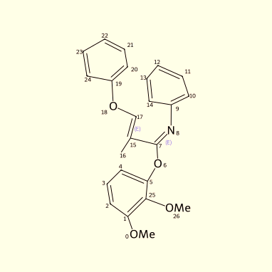 COc1cccc(OC(=N/c2ccccc2)/C(C)=C/Oc2ccccc2)c1OC